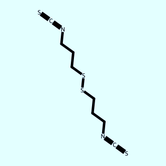 S=C=NCCCSSCCCN=C=S